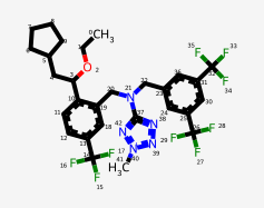 CCOC(CC1CCCC1)c1ccc(C(F)(F)F)cc1CN(Cc1cc(C(F)(F)F)cc(C(F)(F)F)c1)c1nnn(C)n1